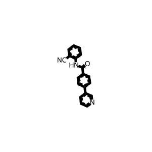 N#Cc1ccccc1NC(=O)c1ccc(-c2cccnc2)cc1